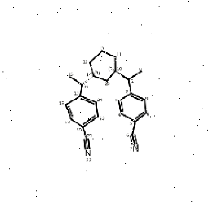 CC(c1ccc(C#N)cc1)[C@@H]1CCC[C@@H](C(C)c2ccc(C#N)cc2)C1